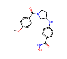 COc1ccc(C(=O)N2CCC(Nc3ccc(C(=O)NO)cc3)C2)cc1